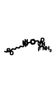 CCOC(=O)CCCCCCn1cc(-c2ccc(Cn3cc(F)c(N)nc3=O)cc2)nn1